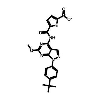 COc1nc(NC(=O)c2ccc([N+](=O)[O-])s2)c2cnn(-c3ccc(C(C)(C)C)cc3)c2n1